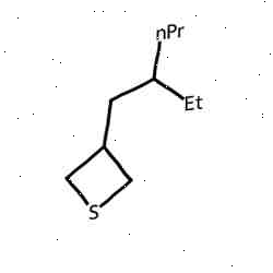 CCCC(CC)CC1CSC1